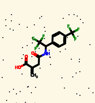 C=C(CC(=O)NC(c1ccc(C(F)(F)F)cc1)C(F)(F)F)C(=O)O